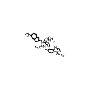 CO[C@@]1(C)C(=O)N(Cc2ccc3c(N)ncnc3c2)[C@H](C)CN1Cc1ccc2cc(Cl)ccc2c1